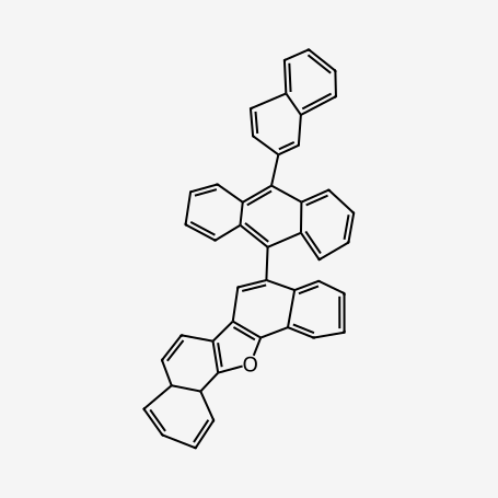 C1=CC2C=Cc3c(oc4c3cc(-c3c5ccccc5c(-c5ccc6ccccc6c5)c5ccccc35)c3ccccc34)C2C=C1